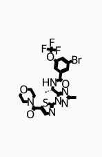 Cc1nc([C@H](C)NC(=O)c2cc(Br)cc(OC(F)(F)F)c2)n(-c2ncc(C(=O)N3CCOCC3)s2)n1